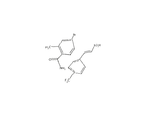 Cc1cc(Br)ccc1C(N)=O.O=S(=O)(O)C=Cc1ccc(C(F)(F)F)cc1